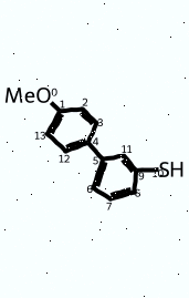 COc1ccc(-c2cccc(S)c2)cc1